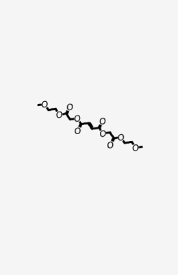 COCCOC(=O)COC(=O)/C=C/C(=O)OCC(=O)OCCOC